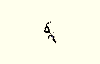 C=C/C=C(\C=C)Oc1ccnc(C=O)c1